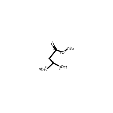 CCCCCCCCCCC(CCCCCCCC)CC(=O)OCCCC